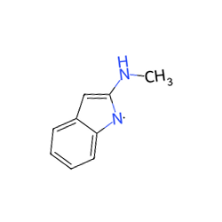 CNC1=Cc2ccccc2[N]1